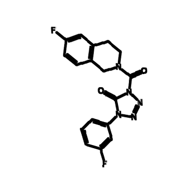 O=C(N1CCc2cc(F)ccc2C1)n1nnn(-c2cccc(F)c2)c1=O